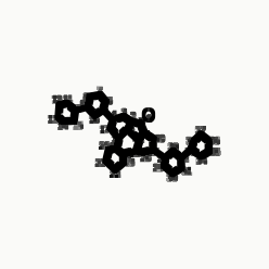 O=c1c2cc(-c3cccc(-c4ccccc4)c3)cc3c4ccccc4c4cc(-c5cccc(-c6ccccc6)c5)cc1c4c23